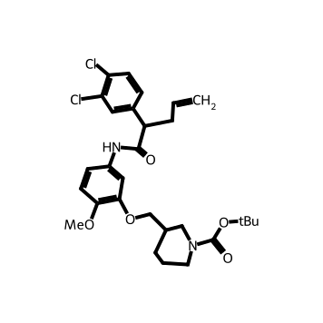 C=CCC(C(=O)Nc1ccc(OC)c(OCC2CCCN(C(=O)OC(C)(C)C)C2)c1)c1ccc(Cl)c(Cl)c1